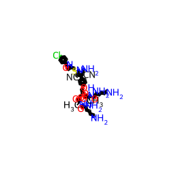 C[C@H](NC(=O)[C@@H](N)CCCCN)C(=O)OC[C@H](COc1ccc(-c2c(C#N)c(N)nc(SCc3coc(-c4ccc(Cl)cc4)n3)c2C#N)cc1)OC(=O)[C@H](C)NC(=O)[C@@H](N)CCCCN